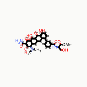 COC(=O)C(CO)NC(=O)c1cccc(-c2ccc(O)c3c2CC2CC4C(N(C)C)C(O)=C(C(N)=O)C(=O)C4(O)C(O)=C2C3=O)c1